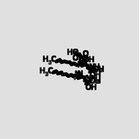 CCCCCCCCCCn1cc(CCC(N)(CO)CO)nn1.CCCCCCCCCCn1cc(CCC(N)(CO)CO)nn1.O=C(O)/C=C/C(=O)O